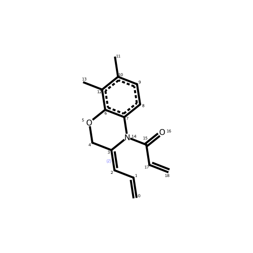 C=C/C=C1/COc2c(ccc(C)c2C)N1C(=O)C=C